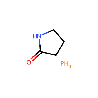 O=C1CCCN1.P